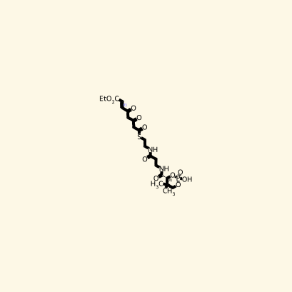 CCOC(=O)/C=C/C(=O)CC(=O)CC(=O)SCCNC(=O)CCNC(=O)[C@@H]1OP(=O)(O)OCC1(C)C